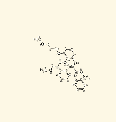 COCCOOc1cccc(OC(=O)C(ON)C(c2ccccc2)c2ccccc2)c1OOCCOC